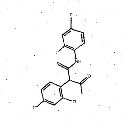 CC(=O)C(C(=S)Nc1ccc(F)cc1F)c1ccc(Cl)cc1Cl